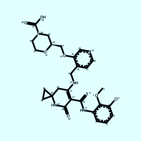 COc1c(Cl)cccc1NC(=S)C1=C(NCc2ccncc2OC[C@@H]2CN(C(=O)O)CCO2)CC2(CC2)NC1=O